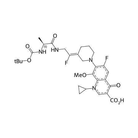 COc1c(N2CCCC(=C(F)CNC(=O)[C@H](C)NC(=O)OC(C)(C)C)C2)c(F)cc2c(=O)c(C(=O)O)cn(C3CC3)c12